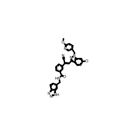 COc1ccc(Cn2nc(C=C(C#N)c3cccc(C(=O)NCc4ccc5nn[nH]c5c4)c3)c3ccc(Cl)cc32)cn1